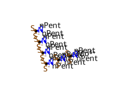 CCCCCN(CCCCC)C(=S)[S-].CCCCCN(CCCCC)C(=S)[S-].CCCCCN(CCCCC)C(=S)[S-].CCCCCN(CCCCC)C(=S)[S-].CCCCCN(CCCCC)C(=S)[S-].CCCCCN(CCCCC)C(=S)[S-].[Mo+6]